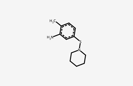 Cc1ccc(SN2CCCCC2)cc1N